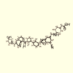 Cc1c(Nc2nccc3cc(CN4CC[C@@H](O)C4)cnc23)cccc1-c1cccc(-c2nc3cc(CN[C@H]4CC[C@H](CC(=O)O)CC4)cc(C#N)c3o2)c1C